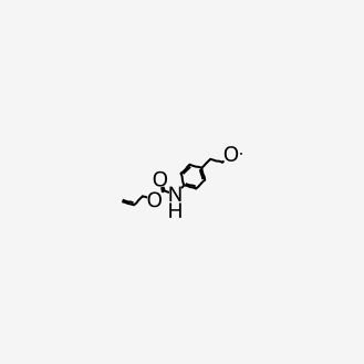 C=CCOC(=O)Nc1ccc(CC[O])cc1